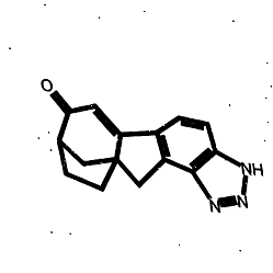 O=C1C=C2c3ccc4[nH]nnc4c3CC23CCC1C3